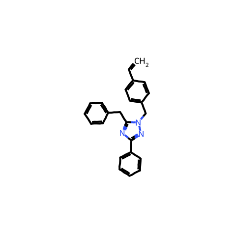 C=Cc1ccc(Cn2nc(-c3ccccc3)nc2Cc2ccccc2)cc1